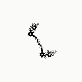 O=C(O)N1C(=O)CCC(N2Cc3c(C#CCOCCOCCOCC#Cc4cccc5c4CN(C4CCC(=O)N(C(=O)O)C4=O)C5=O)cccc3C2=O)C1=O